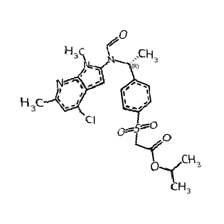 Cc1cc(Cl)c2cc(N(C=O)[C@H](C)c3ccc(S(=O)(=O)CC(=O)OC(C)C)cc3)n(C)c2n1